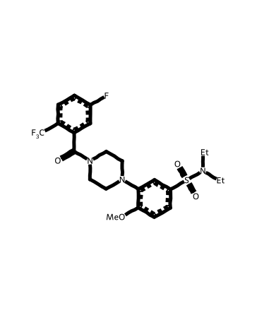 CCN(CC)S(=O)(=O)c1ccc(OC)c(N2CCN(C(=O)c3cc(F)ccc3C(F)(F)F)CC2)c1